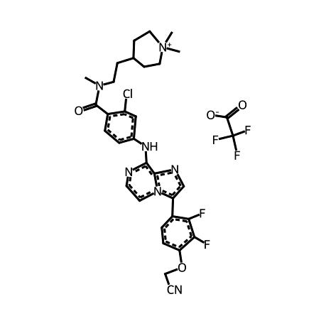 CN(CCC1CC[N+](C)(C)CC1)C(=O)c1ccc(Nc2nccn3c(-c4ccc(OCC#N)c(F)c4F)cnc23)cc1Cl.O=C([O-])C(F)(F)F